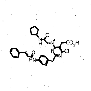 CN(CC(=O)NC1CCCC1)c1nc(Cc2ccc(NC(=O)C=Cc3ccccc3)cc2)nc(Cl)c1CC(=O)O